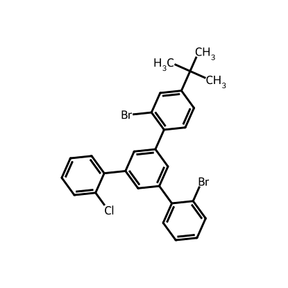 CC(C)(C)c1ccc(-c2cc(-c3ccccc3Cl)cc(-c3ccccc3Br)c2)c(Br)c1